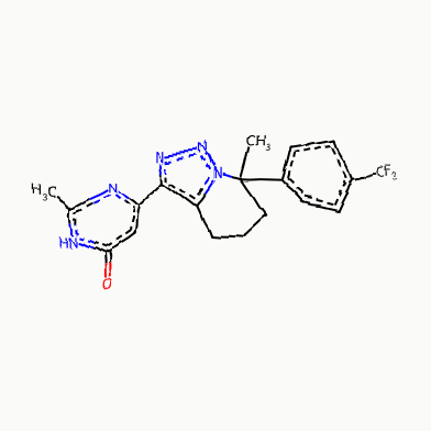 Cc1nc(-c2nnn3c2CCCC3(C)c2ccc(C(F)(F)F)cc2)cc(=O)[nH]1